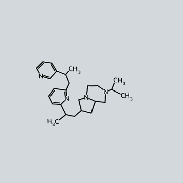 CC(Cc1cccc(C(C)CC2CC3CN(C(C)C)CCN3C2)n1)c1cccnc1